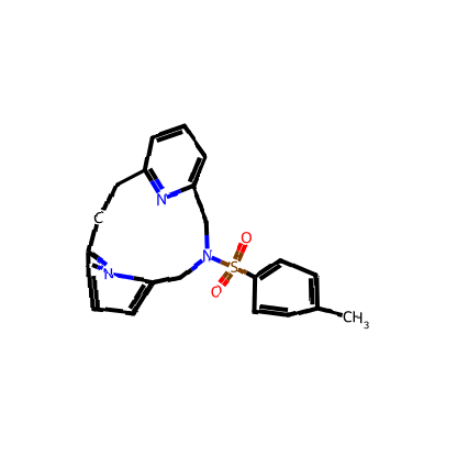 Cc1ccc(S(=O)(=O)N2Cc3cccc(n3)CCc3cccc(n3)C2)cc1